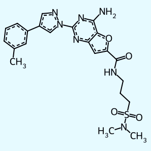 Cc1cccc(-c2cnn(-c3nc(N)c4oc(C(=O)NCCCS(=O)(=O)N(C)C)cc4n3)c2)c1